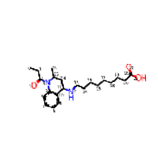 CCC(=O)N1c2ccccc2C(NCCCCCCCCC(=O)O)CC1C